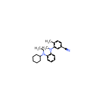 CCN(c1ccccc1N(C)c1cc(C#N)ccc1C)C1CCCCC1